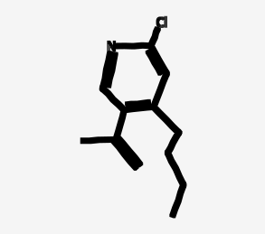 C=C(C)c1cnc(Cl)cc1CCCC